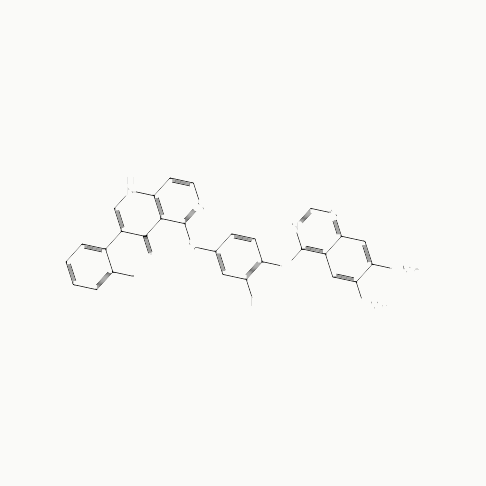 COc1cc2ncnc(Oc3ccc(Nc4nccc5[nH]cc(-c6ccccc6F)c(=O)c45)cc3F)c2cc1OC